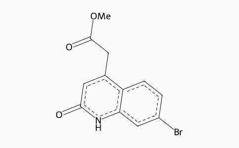 COC(=O)Cc1cc(=O)[nH]c2cc(Br)ccc12